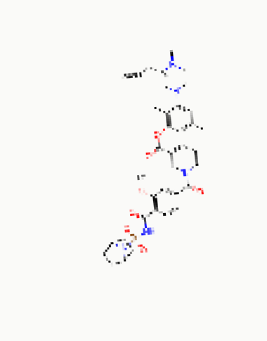 CCOc1cc(C(=O)N2CCc3c(c(=O)oc4c(C)c(N5CCN(C)[C@@H](COC)C5)cc(C)c34)C2)ccc1C(=O)NS(=O)(=O)N1C2CCC1CC2